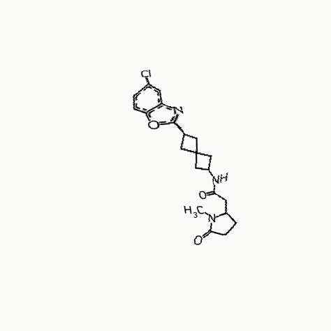 CN1C(=O)CCC1CC(=O)NC1CC2(C1)CC(c1nc3cc(Cl)ccc3o1)C2